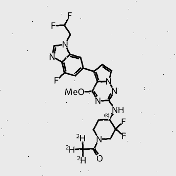 [2H]C([2H])([2H])C(=O)N1CC[C@@H](Nc2nc(OC)c3c(-c4cc(F)c5ncn(CC(F)F)c5c4)ccn3n2)C(F)(F)C1